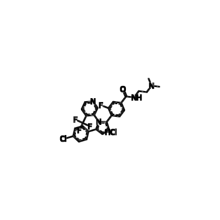 CN(C)CCNC(=O)c1ccc(-c2ccc(-c3ccc(Cl)cc3)n2-c2cnccc2C(F)(F)F)c(F)c1.Cl